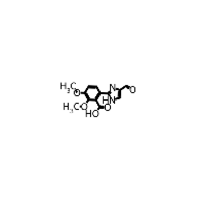 COc1ccc(-c2nc(C=O)c[nH]2)c(C(=O)O)c1OC